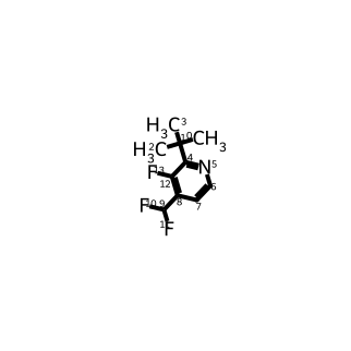 CC(C)(C)c1nccc(C(F)F)c1F